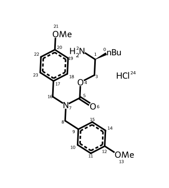 CCCC[C@H](N)COC(=O)N(Cc1ccc(OC)cc1)Cc1ccc(OC)cc1.Cl